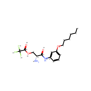 CCCCCCOc1cccc(NC(=O)[C@H](N)COC(=O)C(F)(F)F)c1